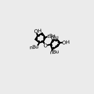 CCCCc1cc(O)cc(C(C)(C)C)c1Oc1c(CCCC)cc(O)cc1C(C)(C)C